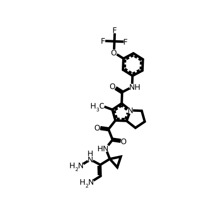 Cc1c(C(=O)C(=O)NC2(/C(=C/N)NN)CC2)c2n(c1C(=O)Nc1cccc(OC(F)(F)F)c1)CCC2